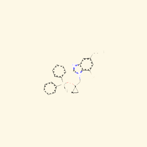 CC(C)(C)[Si](OC1(Cn2cnc3cc(C(=O)O)cc(Br)c32)CC1)(c1ccccc1)c1ccccc1